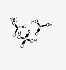 O=S(O)(O)=S.O=S(O)O.[Na+].[O-][I+2]([O-])[O-]